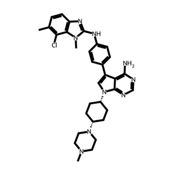 Cc1ccc2nc(Nc3ccc(-c4cn([C@H]5CC[C@@H](N6CCN(C)CC6)CC5)c5ncnc(N)c45)cc3)n(C)c2c1Cl